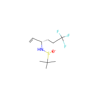 C=C[C@H](CCC(F)(F)F)N[S@@+]([O-])C(C)(C)C